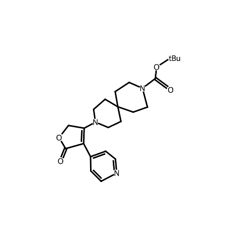 CC(C)(C)OC(=O)N1CCC2(CC1)CCN(C1=C(c3ccncc3)C(=O)OC1)CC2